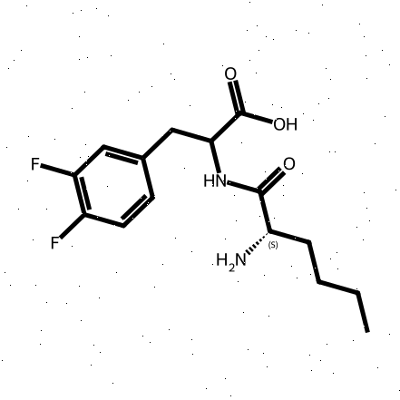 CCCC[C@H](N)C(=O)NC(Cc1ccc(F)c(F)c1)C(=O)O